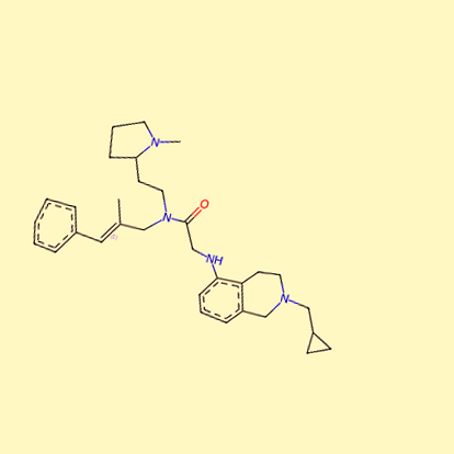 C/C(=C\c1ccccc1)CN(CCC1CCCN1C)C(=O)CNc1cccc2c1CCN(CC1CC1)C2